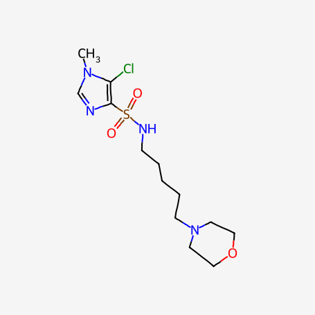 Cn1cnc(S(=O)(=O)NCCCCCN2CCOCC2)c1Cl